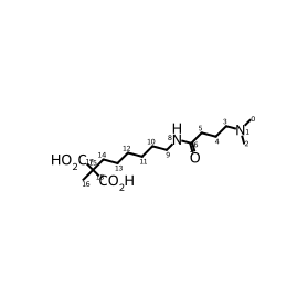 CN(C)CCCC(=O)NCCCCCCC(C)(C(=O)O)C(=O)O